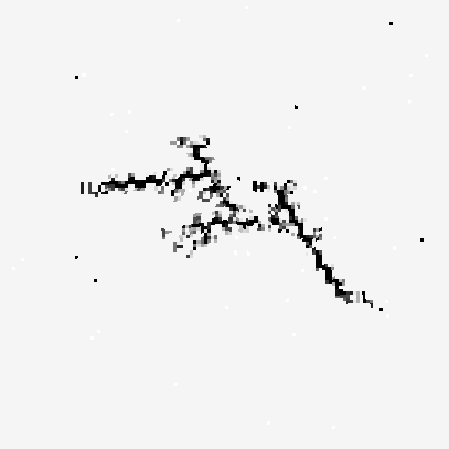 CCCCCCCOC(=O)CCC(CCC(=O)O)OC(=O)OCCN(CCOC(=O)OC(CCC(=O)O)CCC(=O)OCCCCCCC)CCN(CC)CC